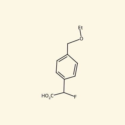 CCOCc1ccc(C(F)C(=O)O)cc1